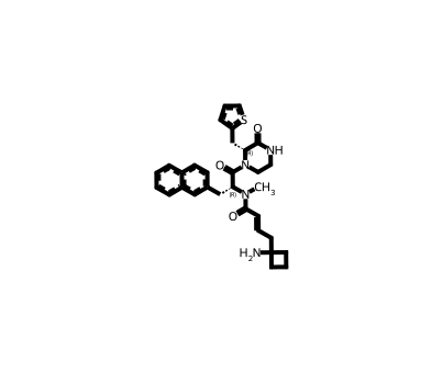 CN(C(=O)C=CCC1(N)CCC1)[C@H](Cc1ccc2ccccc2c1)C(=O)N1CCNC(=O)[C@H]1Cc1cccs1